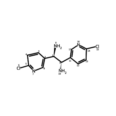 N[C@H](c1ccc(Cl)nc1)[C@@H](N)c1ccc(Cl)nc1